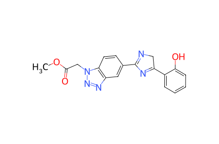 COC(=O)Cn1nnc2cc(C3=NCC(c4ccccc4O)=N3)ccc21